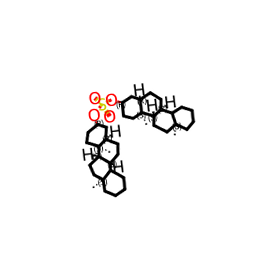 C[C@@]12CCCCC1[C@@H]1CC[C@@H]3C[C@H](OS(=O)(=O)O[C@@H]4CC[C@@]5(C)[C@H](CC[C@H]6C7CCCC[C@@]7(C)CC[C@@H]65)C4)CC[C@]3(C)[C@H]1CC2